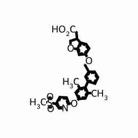 Cc1cc(Oc2ccc(S(C)(=O)=O)cn2)cc(C)c1-c1cccc(COc2ccc3c(c2)OCC3CC(=O)O)c1